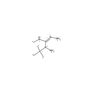 CN/C(=N/N)N(N)C(C)(C)C